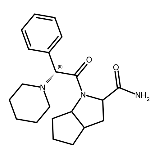 NC(=O)C1CC2CCCC2N1C(=O)[C@@H](c1ccccc1)N1CCCCC1